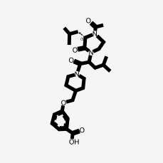 CC(=O)N1CCN(C(CC(C)C)C(=O)N2CCC(COc3cccc(C(=O)O)c3)CC2)C(=O)[C@@H]1CC(C)C